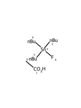 CC(=O)O.CCC[CH2][Sn]([F])([CH2]CCC)[CH2]CCC